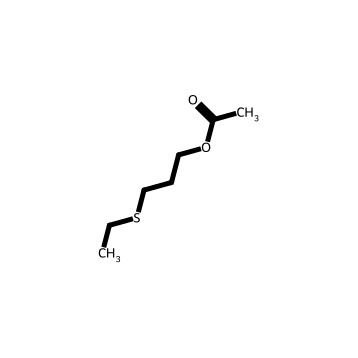 CCSCCCOC(C)=O